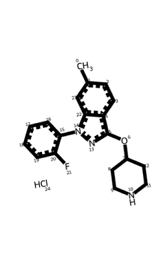 Cc1ccc2c(OC3CCNCC3)nn(-c3ccccc3F)c2c1.Cl